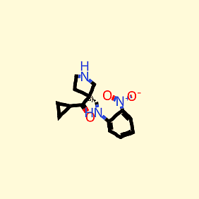 O=C(C1CC1)[C@@]1(CNc2ccccc2[N+](=O)[O-])CCNC1